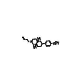 C=CCC[C@@H]1CC[C@@H]2CC(c3ccc(CCC)cc3)CC[C@@H]2C1